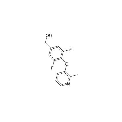 Cc1ncccc1Oc1c(F)cc(CO)cc1F